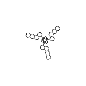 c1ccc2cc3c(ccc4c(B5OB(c6cccc7c6ccc6cc8ccccc8cc67)OB(c6cccc7c6ccc6cc8ccccc8cc67)O5)cccc43)cc2c1